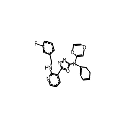 Fc1cccc(CNc2ncccc2-c2nnc(N(C3=CC=CCC3)C3=COC=CO3)o2)c1